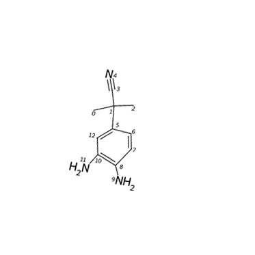 CC(C)(C#N)c1ccc(N)c(N)c1